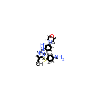 C#Cc1cnc(Nc2cccc(N3CCOCC3)c2)nc1Sc1ccc(N)cc1